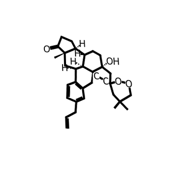 C=CCc1ccc2c(c1)C[C@]13CCC4(CC(C)(C)COO4)C[C@]1(O)CC[C@@H]1[C@@H]3[C@@H]2C[C@]2(C)C(=O)CC[C@@H]12